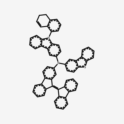 C1=Cc2c(cccc2-n2c3ccccc3c3cc(N(c4ccc5c(c4)C(=C4c6ccccc6-c6ccccc64)c4ccccc4-5)c4ccc5sc6ccccc6c5c4)ccc32)CC1